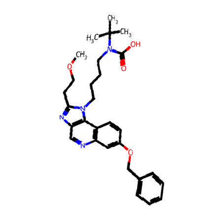 COCCc1nc2cnc3cc(OCc4ccccc4)ccc3c2n1CCCCN(C(=O)O)C(C)(C)C